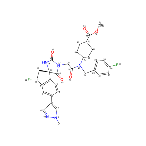 Cn1cc(-c2ccc3c(c2)[C@H](F)C[C@]32NC(=O)N(CC(=O)N(Cc3ccc(F)cc3)C3CCC(C(=O)OC(C)(C)C)CC3)C2=O)cn1